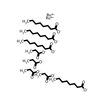 CCC(=O)[O-].CCC(=O)[O-].CCC(=O)[O-].CCC(=O)[O-].CCCCCCCC(=O)[O-].CCCCCCCC(=O)[O-].CCCCCCCC(=O)[O-].CCCCCCCC(=O)[O-].[Ru+4].[Ru+4]